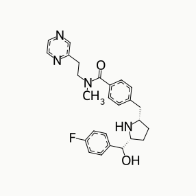 CN(CCc1cnccn1)C(=O)c1ccc(C[C@@H]2CC[C@H](C(O)c3ccc(F)cc3)N2)cc1